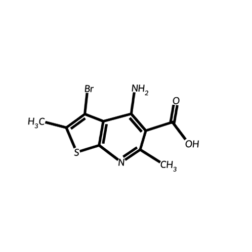 Cc1nc2sc(C)c(Br)c2c(N)c1C(=O)O